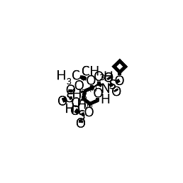 CC1(C)O[C@H]2[C@H](O[SH](=O)=O)[C@H](O[SH](=O)=O)CO[C@@]2(C(O)NS(=O)(=O)OC2CCC2)O1